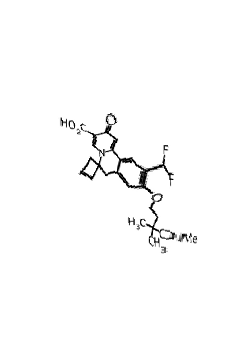 COC(C)(C)CCOc1cc2c(cc1C(F)F)-c1cc(=O)c(C(=O)O)cn1C1(CCC1)C2